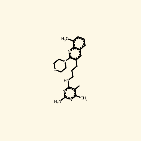 Cc1nc(N)nc(NCCCc2cc3cccc(C)c3nc2N2CCOCC2)c1I